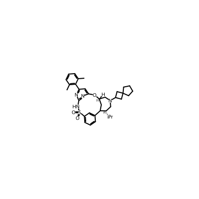 Cc1cccc(C)c1-c1cc2nc(n1)NS(=O)(=O)c1cccc(c1)C1C[C@@H](CN(C3CC4(CCCC4)C3)C[C@@H]1C(C)C)O2